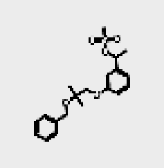 CC(OS(C)(=O)=O)c1cccc(OCC(C)(C)OCc2ccccc2)c1